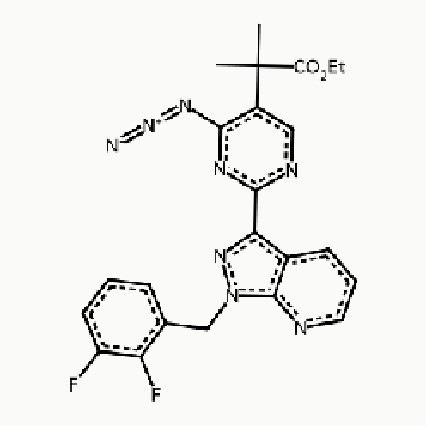 CCOC(=O)C(C)(C)c1cnc(-c2nn(Cc3cccc(F)c3F)c3ncccc23)nc1N=[N+]=[N-]